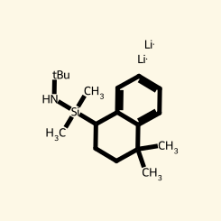 CC(C)(C)N[Si](C)(C)C1CCC(C)(C)c2ccccc21.[Li].[Li]